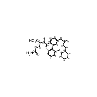 Cc1ccccc1-c1cc(CN(C)CCC2CCCCC2)ccc1C(=O)NC(CCC(N)=O)C(=O)O